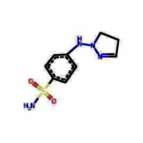 NS(=O)(=O)c1ccc(NN2CCC=N2)cc1